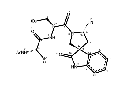 CC(=O)N[C@H](C(=O)N[C@@H](CC(C)(C)C)C(=O)N1C[C@]2(C[C@H]1C#N)C(=O)Nc1ccccc12)C(C)C